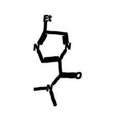 CCc1cnc(C(=O)N(C)C)cn1